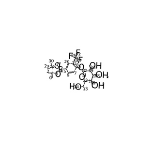 CC1(C)OB(c2ccc(OC3OC(CO)C(O)C(O)C3O)c(C(F)(F)F)c2)OC1(C)C